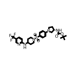 CC(C)(C)OC(=O)N[C@H]1CCN(c2ccc(S(=O)(=O)N3CCC(Nc4ccc(C(F)(F)F)cn4)CC3)cc2)C1